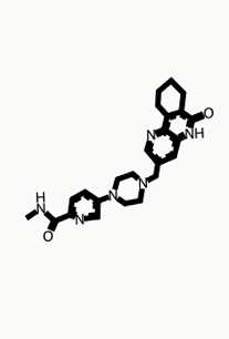 CNC(=O)c1ccc(N2CCN(Cc3cnc4c5c(c(=O)[nH]c4c3)CCCC5)CC2)cn1